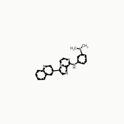 CN(C)c1cccc(Nc2nccn3c(-c4cnc5ccccc5c4)cnc23)c1